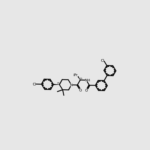 CC(C)[C@@H](NC(=O)c1cccc(-c2cccc(Cl)c2)c1)C(=O)N1CC[C@H](c2ccc(Cl)cc2)C(C)(C)C1